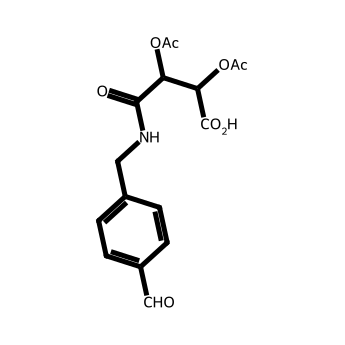 CC(=O)OC(C(=O)O)C(OC(C)=O)C(=O)NCc1ccc(C=O)cc1